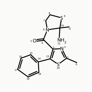 Cc1nc(C(=O)N2CCSC2(C)N)c(-c2ccccc2)s1